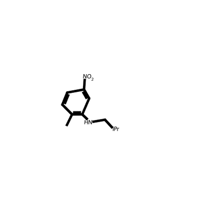 Cc1ccc([N+](=O)[O-])cc1NCC(C)C